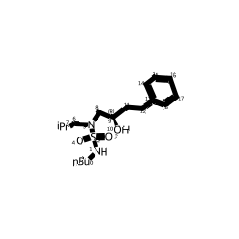 CCCCNS(=O)(=O)N(CC(C)C)C[C@H](O)[CH]Cc1ccccc1